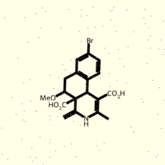 C=C1NC(C)=C(C(=O)O)C2c3ccc(Br)cc3CC(OC)C12C(=O)O